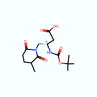 CC1CCC(=O)N(C[C@H](CC(=O)O)NC(=O)OC(C)(C)C)C1=O